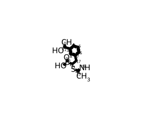 C=C(O)c1cccc2c1OB(O)[C@@H](SC(C)=N)C2